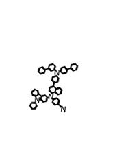 N#Cc1ccc(N(c2ccc3c(c2)c2ccccc2n3-c2ccccc2)c2ccc(-c3ccc(N(c4ccc(-c5ccccc5)cc4)c4cccc(-c5ccccc5)c4)cc3)c3ccccc23)cc1